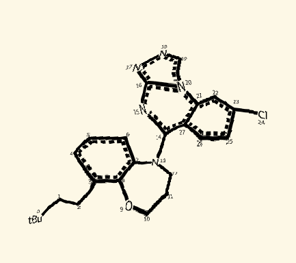 CC(C)(C)CCc1cccc2c1OCCCN2c1nc2nncn2c2cc(Cl)ccc12